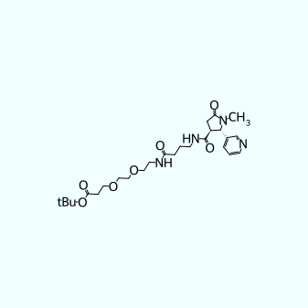 CN1C(=O)C[C@H](C(=O)NCCCC(=O)NCCOCCOCCC(=O)OC(C)(C)C)[C@H]1c1cccnc1